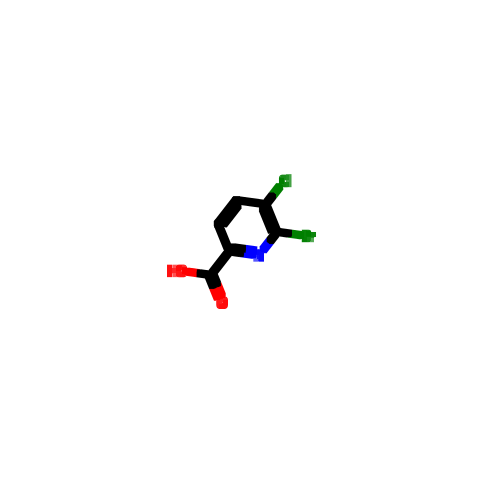 O=C(O)c1ccc(Cl)c(Br)n1